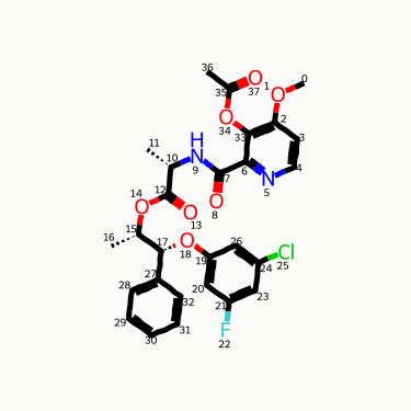 COc1ccnc(C(=O)N[C@@H](C)C(=O)O[C@@H](C)[C@H](Oc2cc(F)cc(Cl)c2)c2ccccc2)c1OC(C)=O